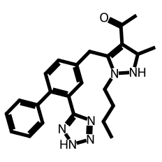 CCCCN1NC(C)C(C(C)=O)=C1Cc1ccc(-c2ccccc2)c(-c2nn[nH]n2)c1